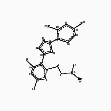 CC(=O)N(C)CCc1cc(C)cc(C)c1-n1cnc(-c2ccc(F)cc2F)c1